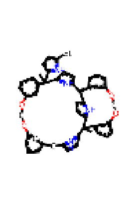 CCc1ccc(C2(C)c3cccc(c3)OCOc3cccc(c3)Cc3ccc([nH]3)C3(C)c4cccc(c4)OCOc4cccc(c4)C(C)(c4ccc2[nH]4)c2ccc3[nH]2)[nH]1